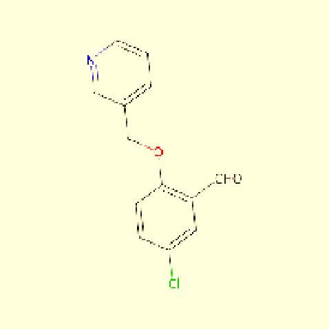 O=Cc1cc(Cl)ccc1OCc1cccnc1